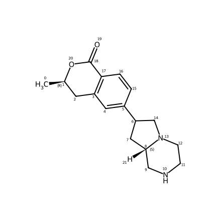 C[C@@H]1Cc2cc(C3C[C@H]4CNCCN4C3)ccc2C(=O)O1